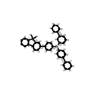 CC1(C)c2ccccc2-c2ccc(-c3ccc(N(c4ccc(-c5ccccc5)cc4)c4cccc(-c5ccccc5)c4)cc3)cc21